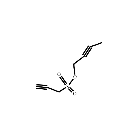 C#CCS(=O)(=O)OCC#CC